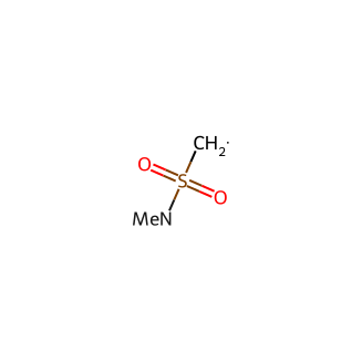 [CH2]S(=O)(=O)NC